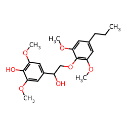 CCCc1cc(OC)c(OCC(O)c2cc(OC)c(O)c(OC)c2)c(OC)c1